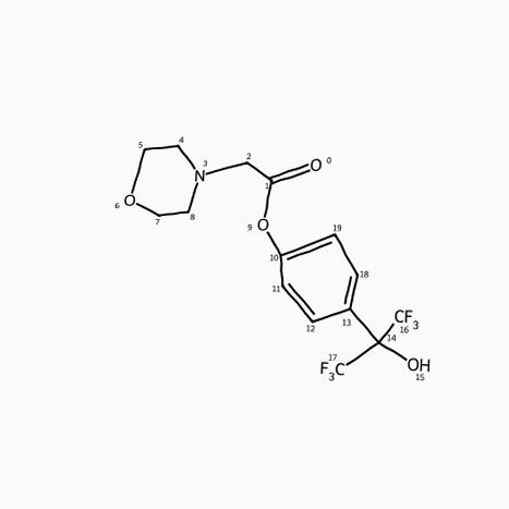 O=C(CN1CCOCC1)Oc1ccc(C(O)(C(F)(F)F)C(F)(F)F)cc1